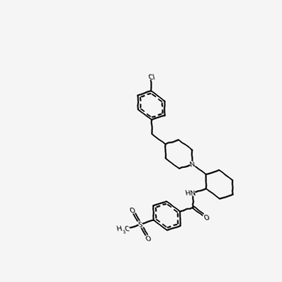 CS(=O)(=O)c1ccc(C(=O)NC2CCCCC2N2CCC(Cc3ccc(Cl)cc3)CC2)cc1